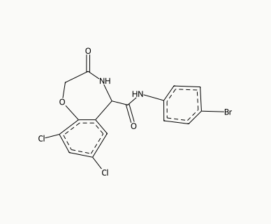 O=C1COc2c(Cl)cc(Cl)cc2C(C(=O)Nc2ccc(Br)cc2)N1